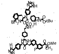 CC(C)(C)OC(=O)NC[C@H]1CC[C@H](C(=O)N(c2ccc(-c3nnn[nH]3)cc2)[C@@H](Cc2cccc(Br)c2)C(N)=O)CC1.CON(C)C(=O)c1ccc(F)c(-c2cccc(C[C@H](NC(=O)[C@H]3CC[C@H](CNC(=O)O)CC3)C(=O)Nc3ccc(-c4nnn[nH]4)cc3)c2)c1